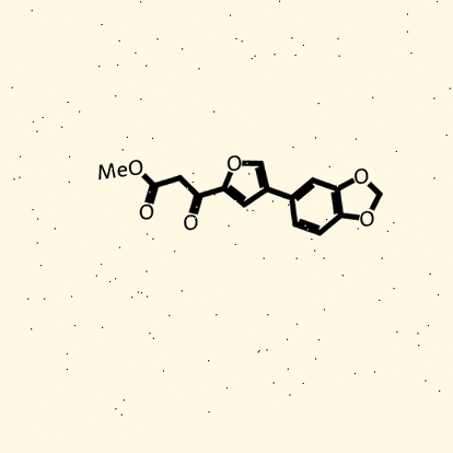 COC(=O)CC(=O)c1cc(-c2ccc3c(c2)OCO3)co1